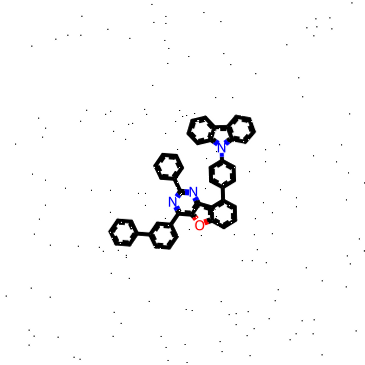 c1ccc(-c2cccc(-c3nc(-c4ccccc4)nc4c3oc3cccc(-c5ccc(-n6c7ccccc7c7ccccc76)cc5)c34)c2)cc1